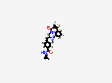 C[C@H]1[C@@H](C(=O)NC[C@H](Cc2ccc(C(=O)NC3CC3)cc2)N(C)C)[C@@]1(C)c1ccccc1